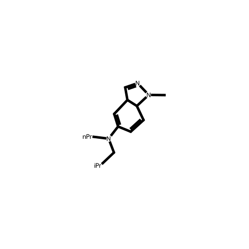 CCCN(CC(C)C)C1=CC2C=NN(C)C2C=C1